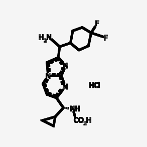 Cl.NC(c1cn2ccc([C@H](NC(=O)O)C3CC3)nc2n1)C1CCC(F)(F)CC1